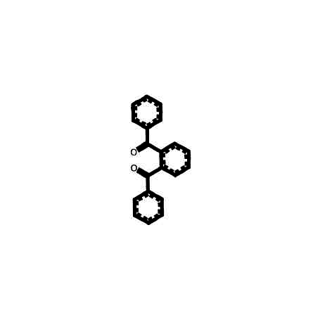 O=C(c1ccccc1)c1[c]cccc1C(=O)c1ccccc1